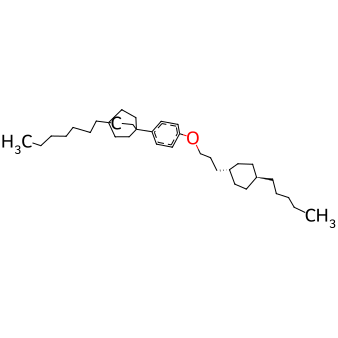 CCCCCCCC12CCC(c3ccc(OCCC[C@H]4CC[C@H](CCCCC)CC4)cc3)(CC1)CC2